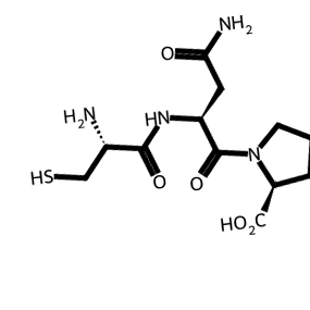 NC(=O)C[C@H](NC(=O)[C@@H](N)CS)C(=O)N1CCC[C@H]1C(=O)O